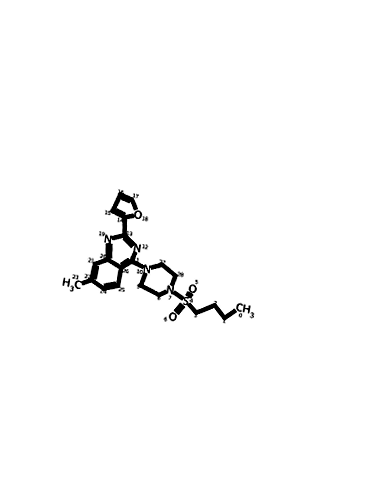 CCCCS(=O)(=O)N1CCN(c2nc(-c3ccco3)nc3cc(C)ccc23)CC1